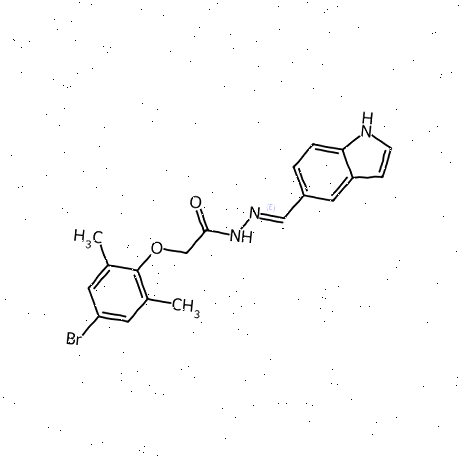 Cc1cc(Br)cc(C)c1OCC(=O)N/N=C/c1ccc2[nH]ccc2c1